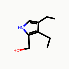 CCc1c[nH]c(CO)c1CC